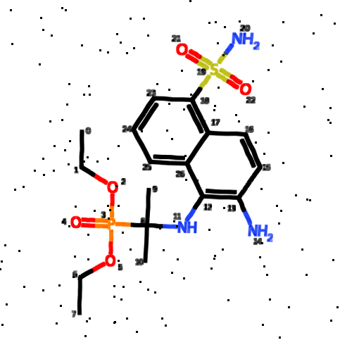 CCOP(=O)(OCC)C(C)(C)Nc1c(N)ccc2c(S(N)(=O)=O)cccc12